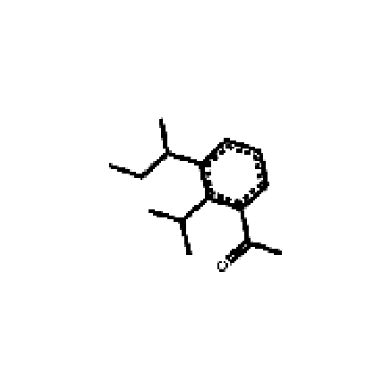 CCC(C)c1cccc(C(C)=O)c1C(C)C